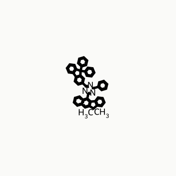 CC1(C)c2ccccc2-c2c1cc1ccccc1c2-c1nc(-c2ccccc2)nc(-c2ccc3c(c2)C(c2ccccc2)(c2ccccc2)c2ccccc2-3)n1